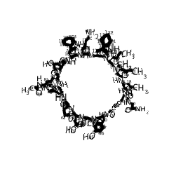 CCCC[C@H]1C(=O)N(C)[C@@H](CCCC)C(=O)N[C@@H](CC(C)C)C(=O)N[C@H](C(=O)NCC(N)=O)CSCC(=O)NC(Cc2ccc(O)cc2)C(=O)N(C)[C@@H](C)C(=O)N[C@@H](CC(=O)O)C(=O)N2CCC[C@H]2C(=O)N[C@@H](Cc2c[nH]cn2)C(=O)N[C@@H](CCCCNC(C)=O)C(=O)N2C[C@H](O)C[C@H]2C(=O)N[C@@H](Cc2c[nH]c3ccccc23)C(=O)N[C@@H](CCCCN)C(=O)N[C@@H](Cc2c[nH]c3ccccc23)C(=O)N1C